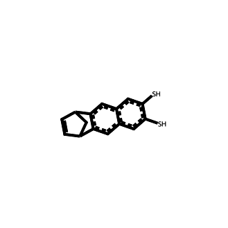 Sc1cc2cc3c(cc2cc1S)C1C=CC3C1